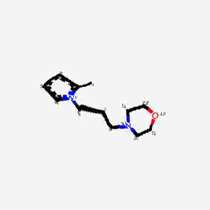 Cc1cccn1CCCN1CCOCC1